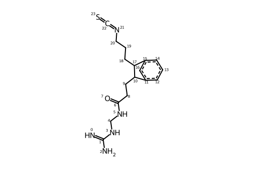 N=C(N)NCNC(=O)CCC1c2cccc(c2)C1CCCN=C=S